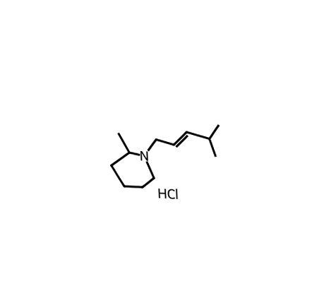 CC(C)/C=C/CN1CCCCC1C.Cl